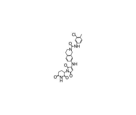 Cc1ccc(NC(=O)N2CCc3ccc(NC4=CC(=O)N(C5CCC(=O)NC5=O)C4=O)cc3C2)cc1Cl